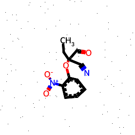 CCC([C]=O)(C#N)Oc1ccccc1[N+](=O)[O-]